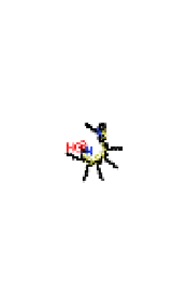 CCCCCCc1cc(-c2sc(-c3sc(-c4sc(-c5sc(-c6ccc7c(c6)Sc6ccccc6N7CCCCCC)cc5CCCCCC)cc4CCCCCC)cc3CCCCCC)cc2CCCCCC)sc1/C=C(\C#N)C(=O)O